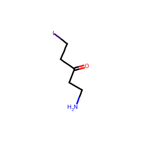 NCCC(=O)CCI